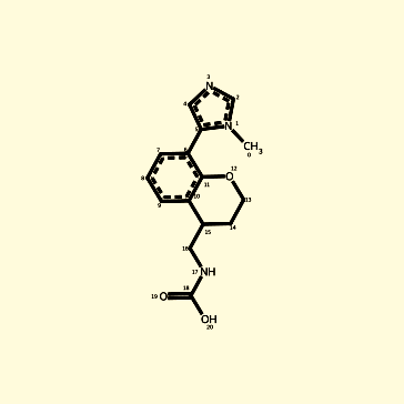 Cn1cncc1-c1cccc2c1OCCC2CNC(=O)O